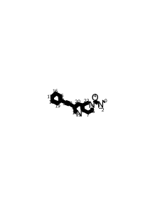 CN(C)C(=O)N1CCc2ncc(C#Cc3ccccc3)cc2C1